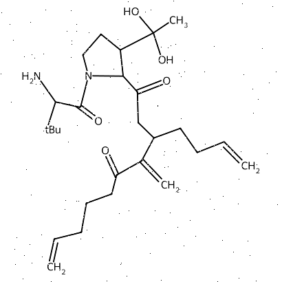 C=CCCCC(=O)C(=C)C(CCC=C)CC(=O)C1C(C(C)(O)O)CCN1C(=O)C(N)C(C)(C)C